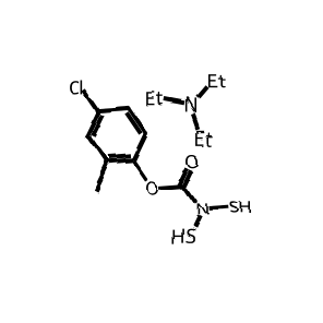 CCN(CC)CC.Cc1cc(Cl)ccc1OC(=O)N(S)S